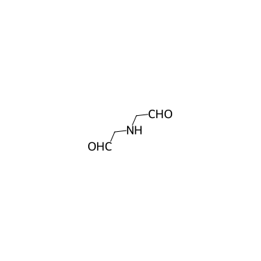 O=CCNCC=O